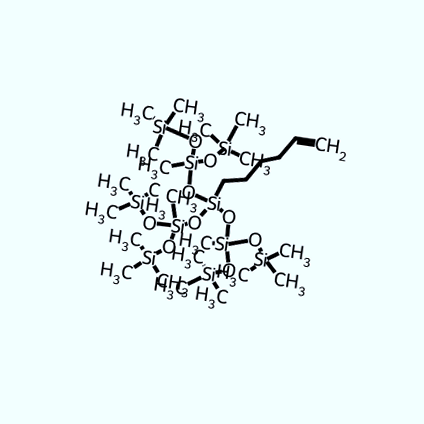 C=CCCCC[Si](O[Si](C)(O[Si](C)(C)C)O[Si](C)(C)C)(O[Si](C)(O[Si](C)(C)C)O[Si](C)(C)C)O[Si](C)(O[Si](C)(C)C)O[Si](C)(C)C